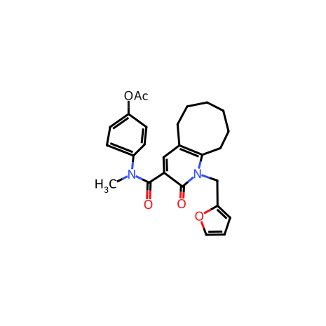 CC(=O)Oc1ccc(N(C)C(=O)c2cc3c(n(Cc4ccco4)c2=O)CCCCCC3)cc1